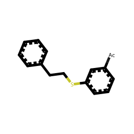 CC(=O)c1cccc(SCCc2ccccc2)c1